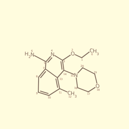 CCOc1nc(N)c2cccc(C)c2c1N1CCOCC1